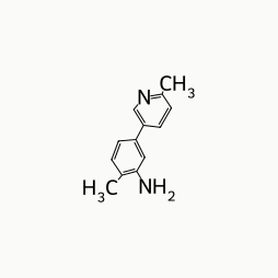 Cc1ccc(-c2ccc(C)c(N)c2)cn1